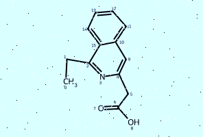 CCc1nc(CC(=O)O)cc2ccccc12